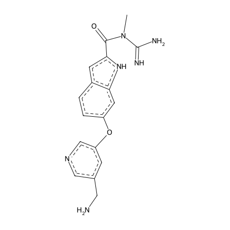 CN(C(=N)N)C(=O)c1cc2ccc(Oc3cncc(CN)c3)cc2[nH]1